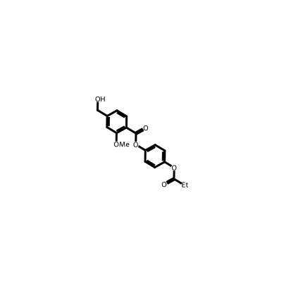 CCC(=O)Oc1ccc(OC(=O)c2ccc(CO)cc2OC)cc1